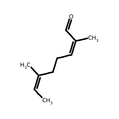 CC=C(C)CCC=C(C)C=O